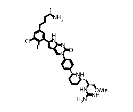 COC[C@H](C[C@@H]1CCC[C@@H](c2ccc(-n3cc4cc(-c5cc(CCC[C@H](C)N)cc(Cl)c5F)[nH]c4nc3=O)cc2)N1)NC(=N)N